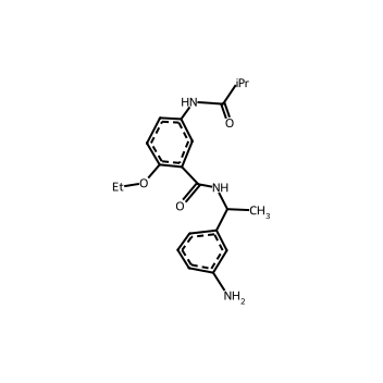 CCOc1ccc(NC(=O)C(C)C)cc1C(=O)NC(C)c1cccc(N)c1